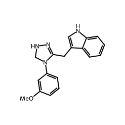 COc1cccc(N2CNN=C2Cc2c[nH]c3ccccc23)c1